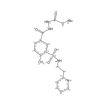 Cc1ccc(C(=O)NNC(=O)OC(C)(C)C)cc1S(=O)(=O)NCCc1ccccn1